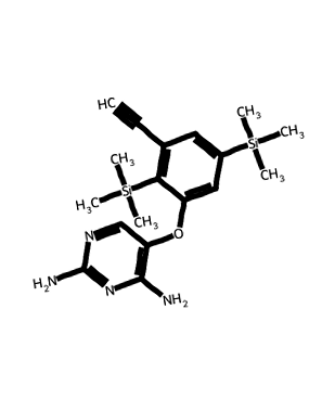 C#Cc1cc([Si](C)(C)C)cc(Oc2cnc(N)nc2N)c1[Si](C)(C)C